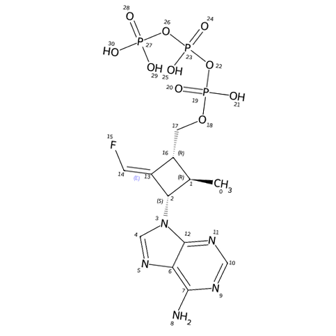 C[C@H]1[C@H](n2cnc3c(N)ncnc32)/C(=C/F)[C@@H]1COP(=O)(O)OP(=O)(O)OP(=O)(O)O